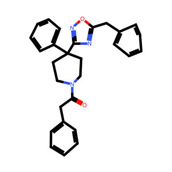 O=C(Cc1ccccc1)N1CCC(c2ccccc2)(c2noc(Cc3ccccc3)n2)CC1